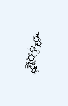 O=C1[C@@H](N2CCc3cc(Cl)ccc32)CCN1c1ccc(S(=O)(=O)Nc2nccs2)cc1